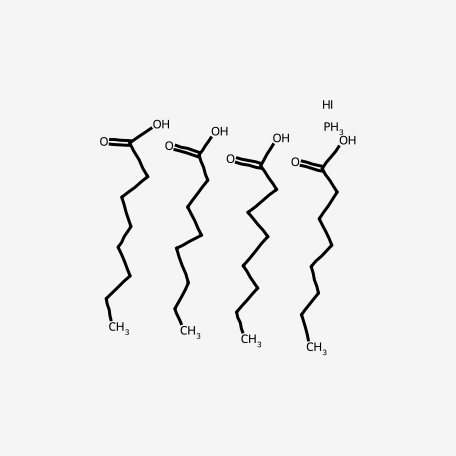 CCCCCCCC(=O)O.CCCCCCCC(=O)O.CCCCCCCC(=O)O.CCCCCCCC(=O)O.I.P